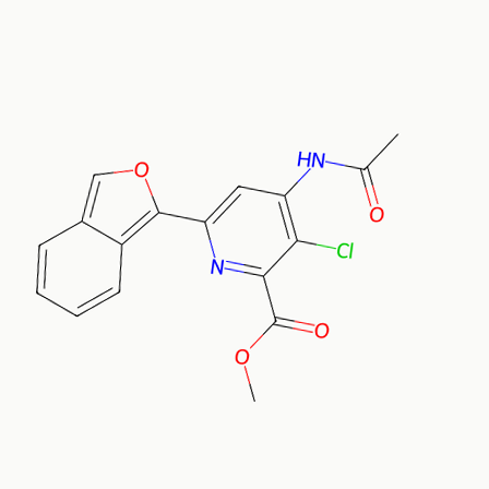 COC(=O)c1nc(-c2occ3ccccc23)cc(NC(C)=O)c1Cl